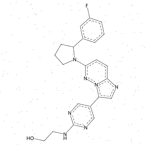 OCCNc1ncc(-c2cnc3ccc(N4CCCC4c4cccc(F)c4)nn23)cn1